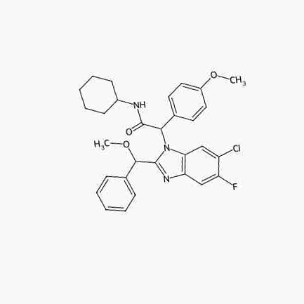 COc1ccc(C(C(=O)NC2CCCCC2)n2c(C(OC)c3ccccc3)nc3cc(F)c(Cl)cc32)cc1